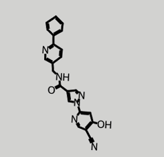 N#Cc1cnc(-n2cc(C(=O)NCc3ccc(-c4ccccc4)nc3)cn2)cc1O